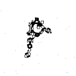 Cc1c(Cl)c2c(Cl)c(C)c1-c1c(C3CCC3)sc3ncnc(c13)O[C@@H](C(=O)OC(C)(C)C)Cc1cc(ccc1OCc1ccnc(C3CCC(OC[C@H]4COCCO4)CC3)n1)OC[C@@H](CN1CCN(C)CC1)O2